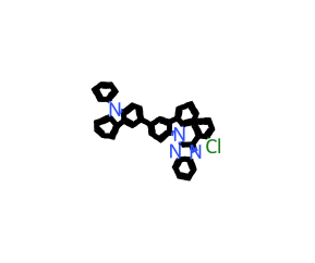 Clc1ccccc1-c1nc2ccccc2nc1-n1c2ccccc2c2cc(-c3ccc4c(c3)c3ccccc3n4-c3ccccc3)ccc21